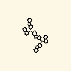 c1ccc2c(N(c3ccc4c(c3)oc3ccccc34)c3ccc4c(c3)oc3cc(N(c5ccc6c(c5)oc5ccccc56)c5cccc6ccccc56)ncc34)cccc2c1